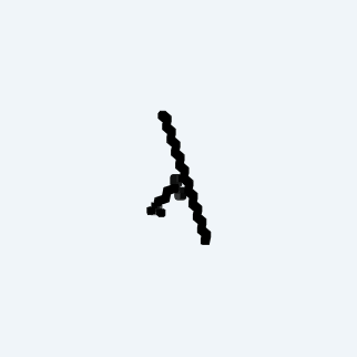 C=CCCCCCCCCC(CCCCCCCCC=C)OC(=O)CCCN(C)C